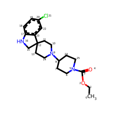 CCOC(=O)N1CCC(N2CCC3(CC2)CNc2ccc(Cl)cc23)CC1